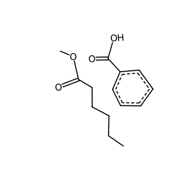 CCCCCC(=O)OC.O=C(O)c1ccccc1